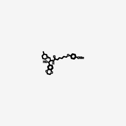 COc1ccc(OCCCCCC(=O)N[C@H](CN2CCCC(C)C2)[C@H](O)c2ccc3c(c2)OCCO3)cc1